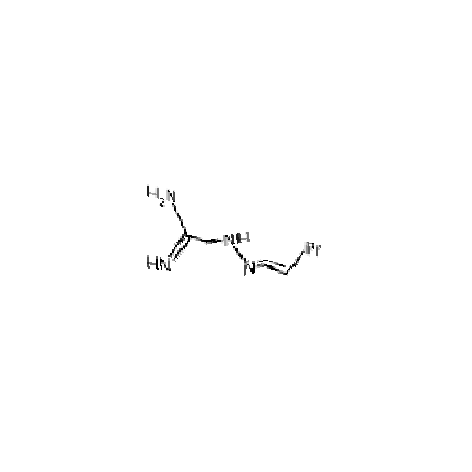 CC(C)/C=N\NC(=N)N